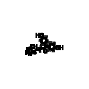 Cn1nnnc1SCCCC(=O)N(C1CCC(O)CC1)C1CCC(O)CC1